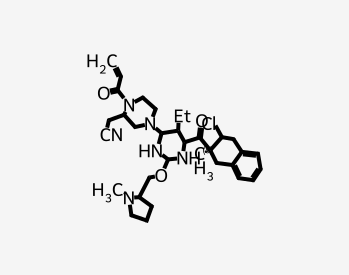 C=CC(=O)N1CCN(C2NC(OCC3CCCN3C)NC(C(=O)[C@]3(C)Cc4ccccc4CC3Cl)C2CC)CC1CC#N